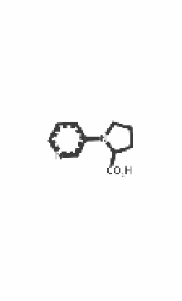 O=C(O)C1CCCN1c1cccnc1